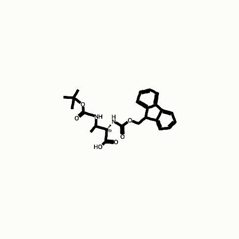 CC(NC(=O)OC(C)(C)C)[C@H](NC(=O)OCC1c2ccccc2-c2ccccc21)C(=O)O